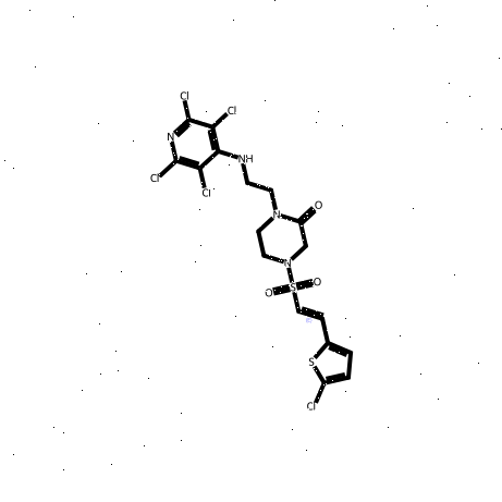 O=C1CN(S(=O)(=O)/C=C/c2ccc(Cl)s2)CCN1CCNc1c(Cl)c(Cl)nc(Cl)c1Cl